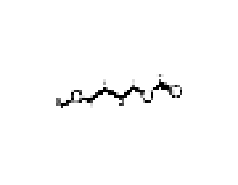 COCCCCOC=O